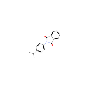 CC(C)c1ccc(N2C(=O)c3ccccc3C2=O)cc1